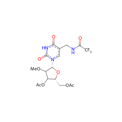 COC1C(OC(C)=O)[C@@H](COC(C)=O)O[C@H]1n1cc(CNC(=O)C(F)(F)F)c(=O)[nH]c1=O